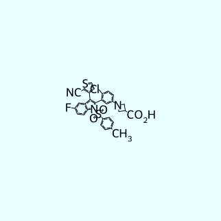 Cc1ccc(S(=O)(=O)n2c(-c3cc(N4CC(C(=O)O)C4)ccc3Cl)c(-c3ccsc3C#N)c3cc(F)ccc32)cc1